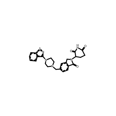 O=C1CCC(N2Cc3cc(CN4CCN(c5nsc6ccccc56)CC4)ccc3C2=O)C(=O)N1